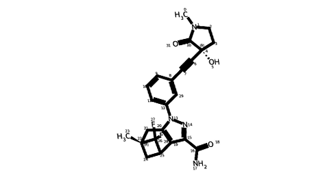 CN1CC[C@@](O)(C#Cc2cccc(-n3nc(C(N)=O)c4c3C[C@@]3(C)CC4C3(F)F)c2)C1=O